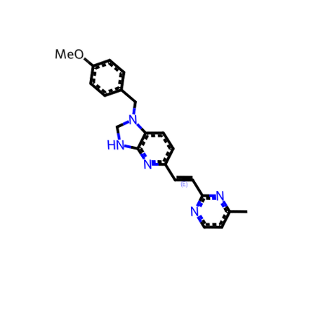 COc1ccc(CN2CNc3nc(/C=C/c4nccc(C)n4)ccc32)cc1